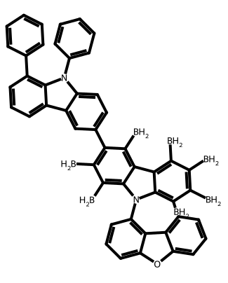 Bc1c(B)c(B)c2c(c1B)c1c(B)c(-c3ccc4c(c3)c3cccc(-c5ccccc5)c3n4-c3ccccc3)c(B)c(B)c1n2-c1cccc2oc3ccccc3c12